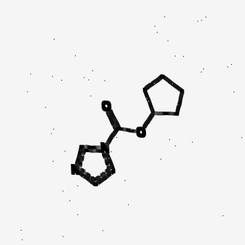 O=C(OC1CCCC1)n1ccnc1